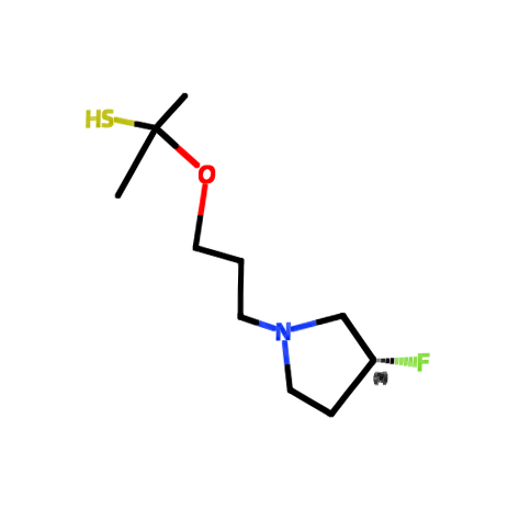 CC(C)(S)OCCCN1CC[C@@H](F)C1